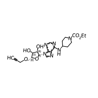 C#CCOC[C@H]1O[C@@H](n2cnc3c(NC4CCN(C(=O)OCC)CC4)ncnc32)[C@H](O)[C@@H]1O